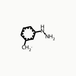 [CH2]c1cccc(NN)c1